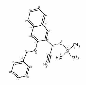 C#CC(O[Si](C)(C)C)c1cc2ccccc2cc1OCc1ccccc1